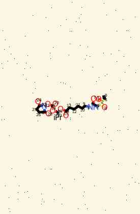 C=CS(=O)(=O)CC(=O)NCCCCCC(=O)OC(OC(=O)ON1C(=O)CCC1=O)C(C)C